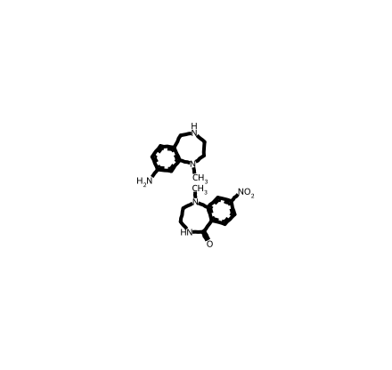 CN1CCNC(=O)c2ccc([N+](=O)[O-])cc21.CN1CCNCc2ccc(N)cc21